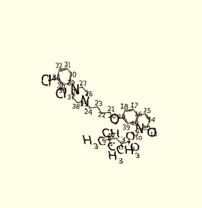 CC(CC(C)(C)C)C(=O)OCn1c(=O)ccc2ccc(OCCCCN3CCN(c4cccc(Cl)c4Cl)CC3)cc21